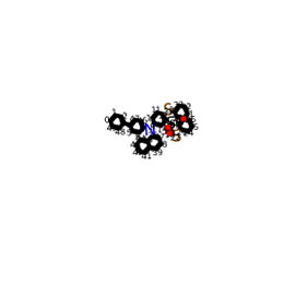 c1ccc(-c2ccc(N(c3ccc4c(c3)[Si]3(c5ccccc5Sc5ccccc53)c3ccccc3S4)c3cccc4ccccc34)cc2)cc1